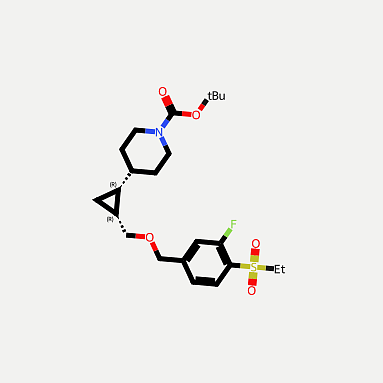 CCS(=O)(=O)c1ccc(COC[C@@H]2C[C@@H]2C2CCN(C(=O)OC(C)(C)C)CC2)cc1F